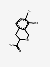 O=C(O)C1Cc2ccc(O)c(O)c2CN1